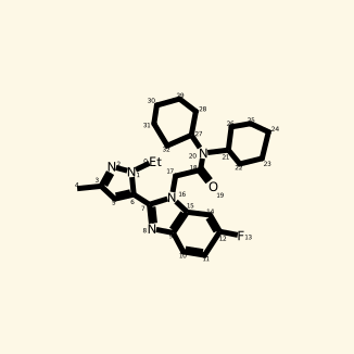 CCn1nc(C)cc1-c1nc2ccc(F)cc2n1CC(=O)N(C1CCCCC1)C1CCCCC1